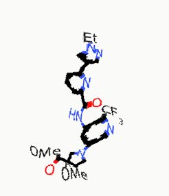 CCn1cc(-c2cccc(C(=O)Nc3cc(N4CC[C@@](OC)(C(=O)OC)C4)cnc3C(F)(F)F)n2)cn1